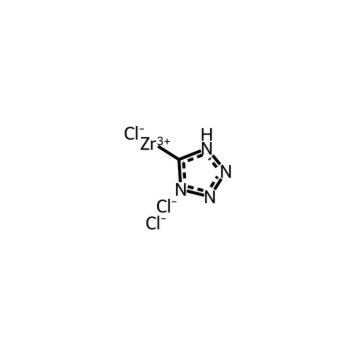 [Cl-].[Cl-].[Cl-].[Zr+3][c]1nnn[nH]1